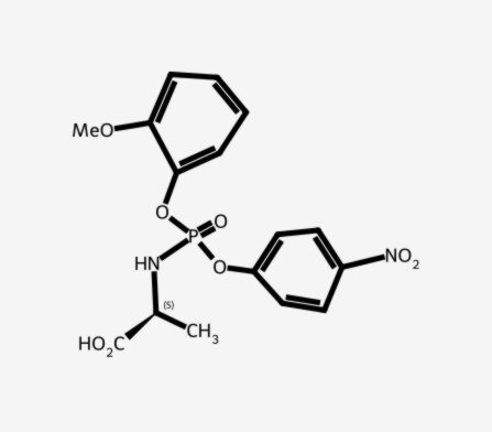 COc1ccccc1OP(=O)(N[C@@H](C)C(=O)O)Oc1ccc([N+](=O)[O-])cc1